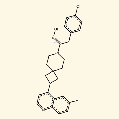 O/N=C(\Cc1ccc(Cl)cc1)N1CCC2(CC1)CC(c1ccnc3ccc(F)cc13)C2